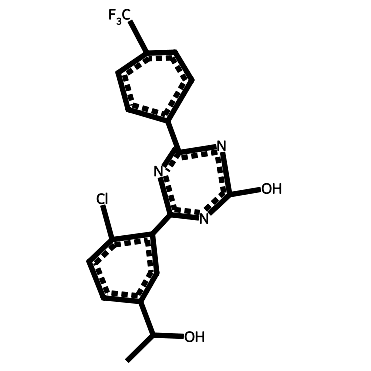 CC(O)c1ccc(Cl)c(-c2nc(O)nc(-c3ccc(C(F)(F)F)cc3)n2)c1